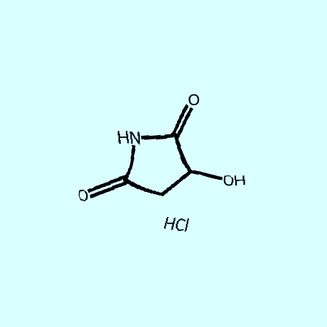 Cl.O=C1CC(O)C(=O)N1